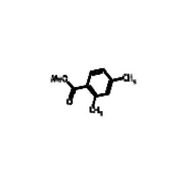 COC(=O)c1ccc(C)cc1C